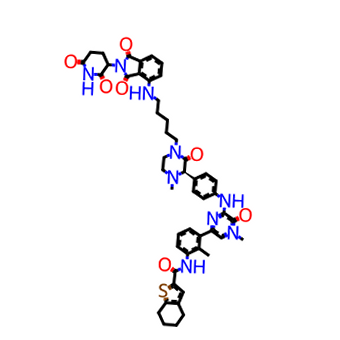 Cc1c(NC(=O)c2cc3c(s2)CCCC3)cccc1-c1cn(C)c(=O)c(Nc2ccc([C@@H]3C(=O)N(CCCCCNc4cccc5c4C(=O)N(C4CCC(=O)NC4=O)C5=O)CCN3C)cc2)n1